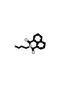 O=C1c2cccc3cccc(c23)C(=O)N1CCCI